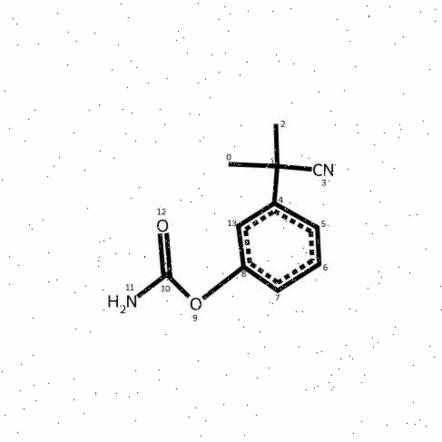 CC(C)(C#N)c1cccc(OC(N)=O)c1